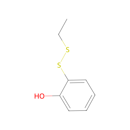 CCSSc1ccccc1O